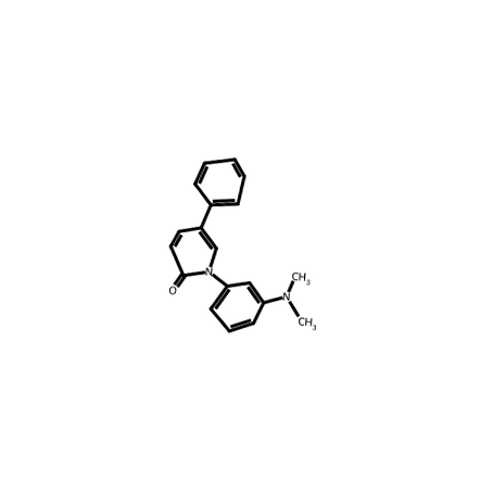 CN(C)c1cccc(-n2cc(-c3ccccc3)ccc2=O)c1